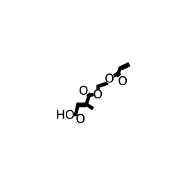 C=CC(=O)OCCOC(=O)/C(C)=C/C(=O)O